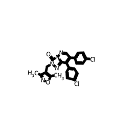 Cc1noc(C)c1Cn1nc2c(-c3ccc(Cl)cc3)c(-c3ccc(Cl)cc3)cnn2c1=O